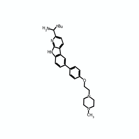 CCCCC(N)c1ccc2c(n1)[nH]c1ccc(-c3ccc(OCCN4CCN(C)CC4)cc3)cc12